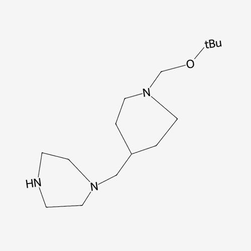 CC(C)(C)OCN1CCC(CN2CCNCC2)CC1